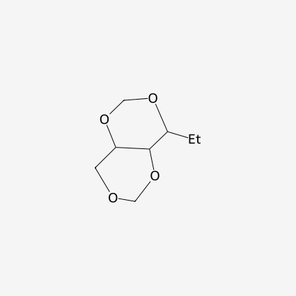 CCC1OCOC2COCOC12